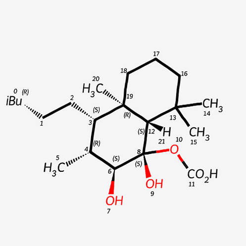 CC[C@@H](C)CC[C@H]1[C@@H](C)[C@H](O)[C@@](O)(OC(=O)O)[C@H]2C(C)(C)CCC[C@]12C